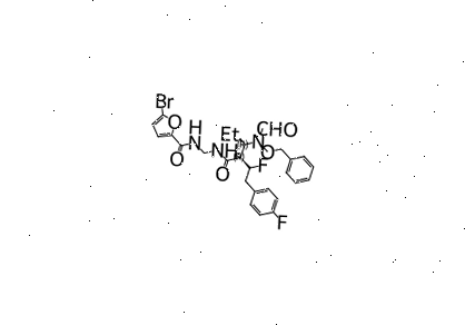 CC[C@H]([C@H](C(=O)NCNC(=O)c1ccc(Br)o1)C(F)Cc1ccc(F)cc1)N(C=O)OCc1ccccc1